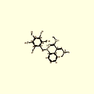 COC(=O)/C(=C/N(C)C)c1ccccc1SCc1c(F)c(F)c(F)c(F)c1F